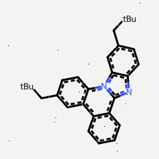 CC(C)(C)Cc1ccc2c(c1)c1ccccc1c1nc3ccc(CC(C)(C)C)cc3n21